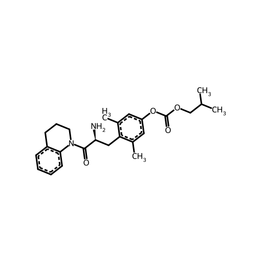 Cc1cc(OC(=O)OCC(C)C)cc(C)c1C[C@H](N)C(=O)N1CCCc2ccccc21